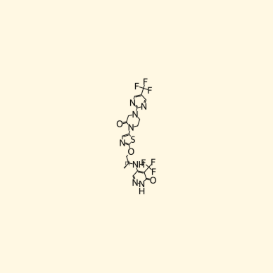 C[C@@H](COc1ncc(N2CCN(c3ncc(C(F)(F)F)cn3)CC2=O)s1)Nc1cn[nH]c(=O)c1C(F)(F)F